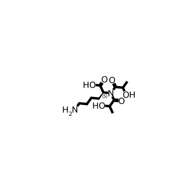 CC(O)C(=O)N(C(=O)C(C)O)[C@@H](CCCCN)C(=O)O